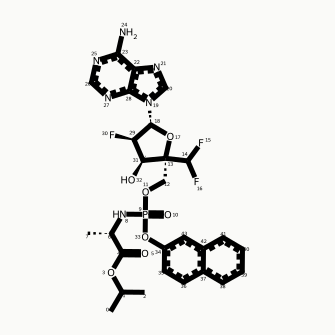 CC(C)OC(=O)[C@H](C)NP(=O)(OC[C@@]1(C(F)F)O[C@@H](n2cnc3c(N)ncnc32)[C@H](F)[C@@H]1O)Oc1ccc2ccccc2c1